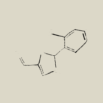 O=CC1=COC(c2ccccc2Cl)O1